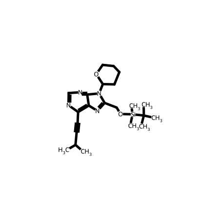 CC(C)C#Cc1ncnc2c1nc(CO[Si](C)(C)C(C)(C)C)n2C1CCCCO1